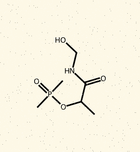 CC(OP(C)(C)=O)C(=O)NCO